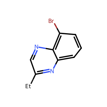 CCc1cnc2c(Br)cccc2n1